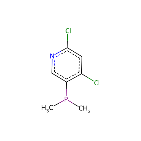 CP(C)c1cnc(Cl)cc1Cl